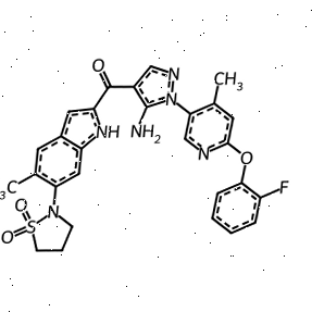 Cc1cc2cc(C(=O)c3cnn(-c4cnc(Oc5ccccc5F)cc4C)c3N)[nH]c2cc1N1CCCS1(=O)=O